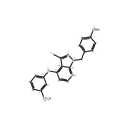 COc1ccc(Cn2nc(I)c3c(Oc4cccc(C(=O)O)c4)ccnc32)cc1